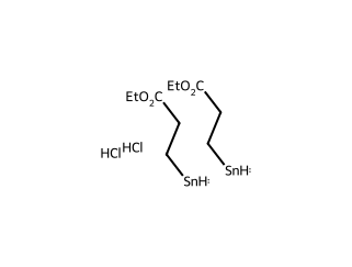 CCOC(=O)C[CH2][SnH].CCOC(=O)C[CH2][SnH].Cl.Cl